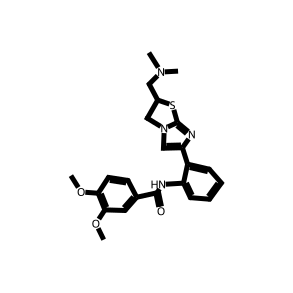 COc1ccc(C(=O)Nc2ccccc2-c2cn3c(n2)SC(CN(C)C)C3)cc1OC